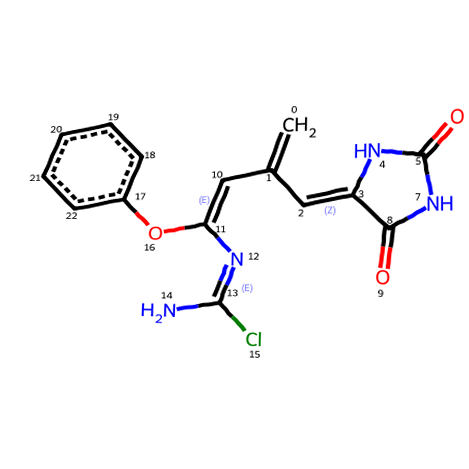 C=C(/C=C1\NC(=O)NC1=O)/C=C(\N=C(/N)Cl)Oc1ccccc1